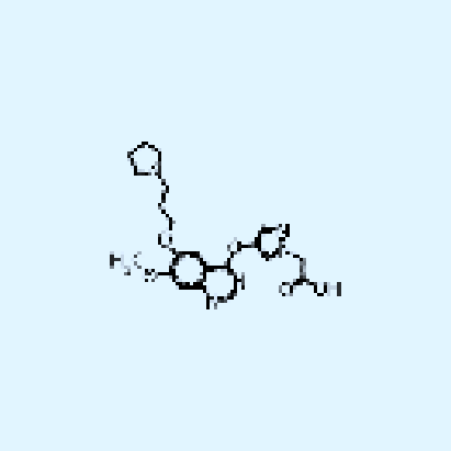 COc1cc2ncnc(Oc3cnn(CC(=O)O)c3)c2cc1OCCCN1CCCC1